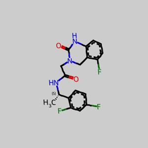 C[C@H](NC(=O)CN1Cc2c(F)cccc2NC1=O)c1ccc(F)cc1F